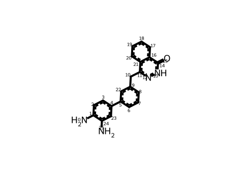 Nc1ccc(-c2cccc(Cc3n[nH]c(=O)c4ccccc34)c2)cc1N